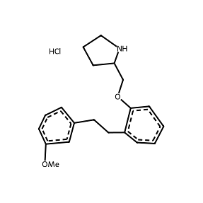 COc1cccc(CCc2ccccc2OCC2CCCN2)c1.Cl